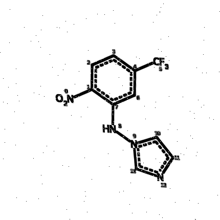 O=[N+]([O-])c1ccc(C(F)(F)F)cc1Nn1ccnc1